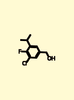 CC(C)c1cc(CO)cc(Cl)c1F